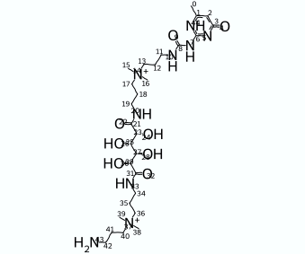 Cc1cc(=O)nc(NC(=O)NCCC[N+](C)(C)CCCNC(=O)[C@H](O)[C@@H](O)[C@@H](O)[C@H](O)C(=O)NCCC[N+](C)(C)CCCN)[nH]1